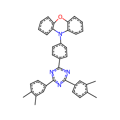 Cc1ccc(-c2nc(-c3ccc(N4c5ccccc5Oc5ccccc54)cc3)nc(-c3ccc(C)c(C)c3)n2)cc1C